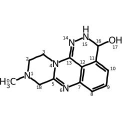 CN1CCN2C(=Nc3cccc4c3C2=NNC4O)C1